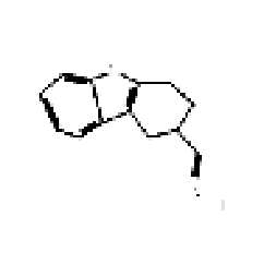 ON=CC1CCc2[nH]c3ccccc3c2C1